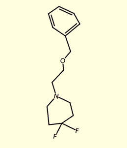 FC1(F)CCN(CCOCc2ccccc2)CC1